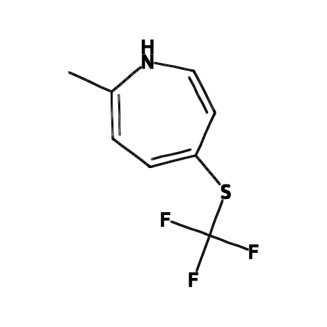 CC1=CC=C(SC(F)(F)F)C=CN1